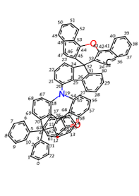 c1ccc(C2(c3ccccc3)c3ccccc3-c3c(N(c4cccc5c4-c4ccccc4C54c5ccc6ccccc6c5Oc5c4ccc4ccccc54)c4cccc5oc6ccccc6c45)cccc32)cc1